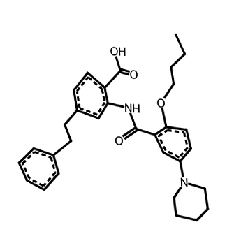 CCCCOc1ccc(N2CCCCC2)cc1C(=O)Nc1cc(CCc2ccccc2)ccc1C(=O)O